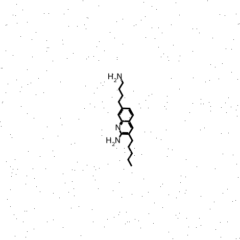 CCCCCc1cc2ccc(CCCCN)cc2nc1N